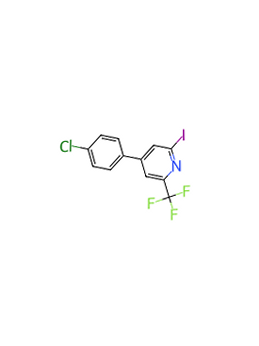 FC(F)(F)c1cc(-c2ccc(Cl)cc2)cc(I)n1